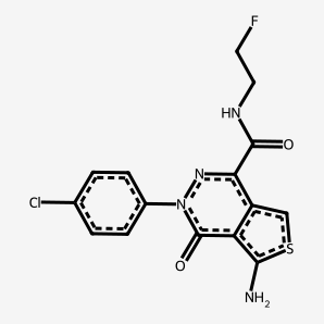 Nc1scc2c(C(=O)NCCF)nn(-c3ccc(Cl)cc3)c(=O)c12